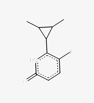 CC1C(C)C1c1[nH]c(=O)ccc1I